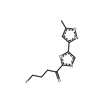 Cc1cc(-c2cnc(C(=O)[CH]CCF)o2)no1